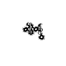 CCCC(NC(C=O)c1ccc(C(=O)OCc2ccccc2)c(OCC)c1)c1ccccc1N1CCCCC1